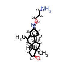 CC1C[C@@H]2[C@@H](CC[C@]3(C)C(=O)CC[C@@H]23)[C@@]2(C)CCC(=NOCCCN)CC12